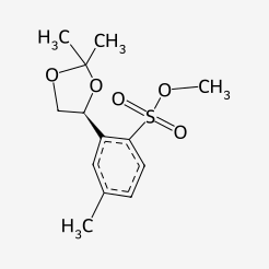 COS(=O)(=O)c1ccc(C)cc1[C@H]1COC(C)(C)O1